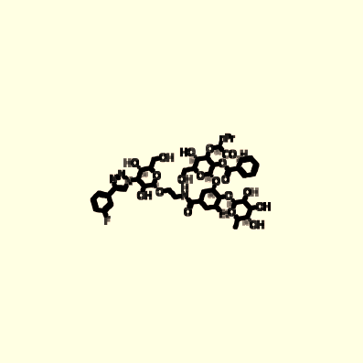 CCC[C@H](OC1C(OC(=O)c2ccccc2)[C@H](O[C@@H]2CC(C(=O)NCCO[C@H]3OC(CO)[C@@H](O)C(n4cc(-c5cccc(F)c5)nn4)C3O)CC(CC)C2O[C@@H]2OC(C)[C@@H](O)C(O)C2O)OC(CO)[C@@H]1O)C(=O)O